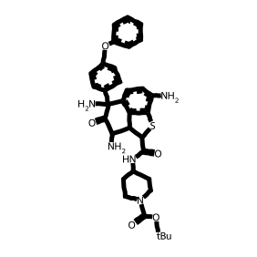 CC(C)(C)OC(=O)N1CCC(NC(=O)C2Sc3c(N)ccc4c3C2C(N)C(=O)C4(N)c2ccc(Oc3ccccc3)cc2)CC1